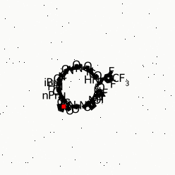 CCCC1C(=O)NC([C@@H](C)CC)C(=O)N(C)CC(=O)N(C)CC(=O)N(C)CC(=O)N(C)CC(=O)NC(CCc2cc(F)c(C(F)(F)F)c(F)c2)C(=O)N2CC(F)(F)CC2C(=O)NC2(CCCC2)C(=O)N(C)CC(=O)N(C)C(C(=O)N2CCCC2)CC(=O)N1C